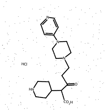 Cl.O=C(O)C(C(=O)CCN1CCN(c2ccncc2)CC1)C1CCNCC1